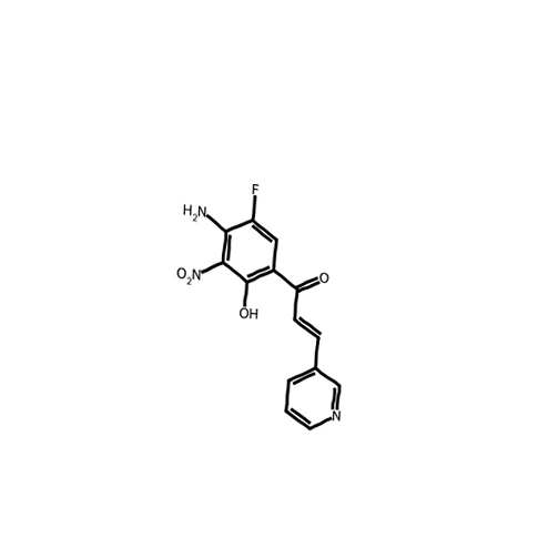 Nc1c(F)cc(C(=O)/C=C/c2cccnc2)c(O)c1[N+](=O)[O-]